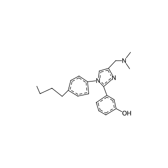 CCCCc1ccc(-n2cc(CN(C)C)nc2-c2cccc(O)c2)cc1